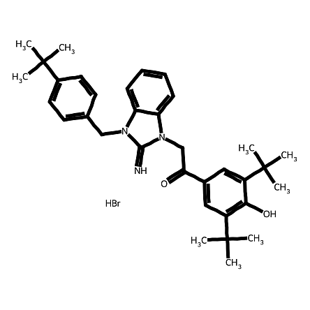 Br.CC(C)(C)c1ccc(Cn2c(=N)n(CC(=O)c3cc(C(C)(C)C)c(O)c(C(C)(C)C)c3)c3ccccc32)cc1